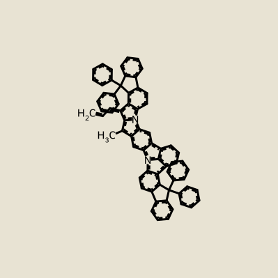 C=C/C=c1/c2c3c(ccc2n2c1c(C)c1cc4c(cc12)c1cccc2c5c6c(ccc5n4c12)-c1ccccc1C6(c1ccccc1)c1ccccc1)-c1ccccc1C3(c1ccccc1)c1ccccc1